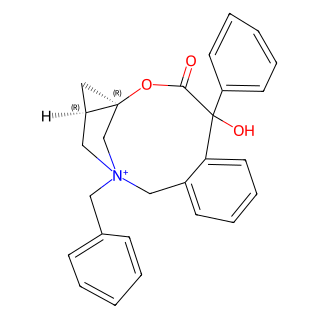 O=C1O[C@]23C[C@@H]2C[N+](Cc2ccccc2)(Cc2ccccc2C1(O)c1ccccc1)C3